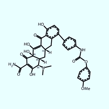 COc1ccc(OC(=O)Nc2ccc(-c3ccc(O)c4c3C[C@@H]3C[C@@H]5[C@@H](N(C)C)C(O)=C(C(N)=O)C(=O)[C@]5(O)C(O)=C3C4=O)cc2)cc1